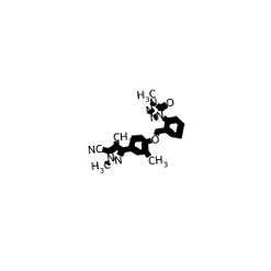 Cc1cc(-c2nn(C)c(C#N)c2C)ccc1OCc1ccccc1-n1nnn(C)c1=O